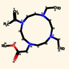 C=C(C)N1CCN(CC=O)CCN(CC=O)CCN(CC(=O)OC(C)(C)C)CC1